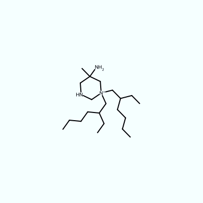 CCCCC(CC)C[N+]1(CC(CC)CCCC)CNCC(C)(N)C1